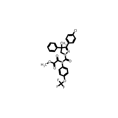 COC(=O)C(=O)N(C(=O)N1CC(C)(c2ccccc2)C(c2ccc(Cl)cc2)=N1)c1ccc(OC(F)(F)F)cc1